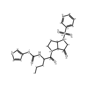 CCCC(NC(=O)Oc1ccoc1)C(=O)N1CCC2C1C(=O)CN2S(=O)(=O)c1cccnc1